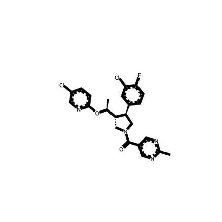 Cc1ncc(C(=O)N2C[C@H]([C@H](C)Oc3ccc(Cl)cn3)[C@@H](c3ccc(F)c(Cl)c3)C2)cn1